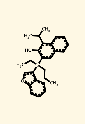 CCCS(CC)(c1cc2ccccc2c(C(C)C)c1O)c1coc2ccccc12